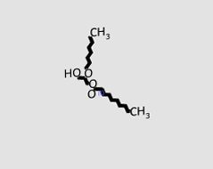 CCCCCCC/C=C/C(=O)OCC(CO)OCCCCCCCC